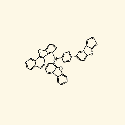 c1ccc2c(c1)ccc1c2oc2cccc(N(c3ccc(-c4ccc5sc6ccccc6c5c4)cc3)c3cccc4c3oc3ccccc34)c21